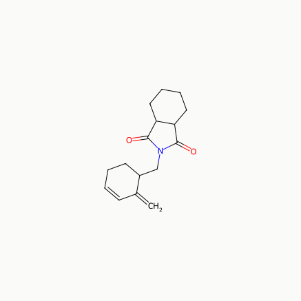 C=C1C=CCCC1CN1C(=O)C2CCCCC2C1=O